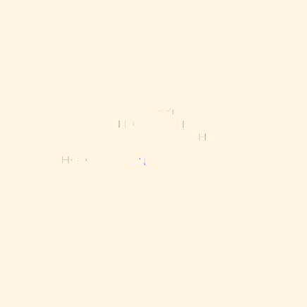 Br.CC1N(CCC(=O)O)c2ccccc2C1(C)C